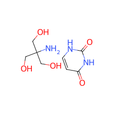 NC(CO)(CO)CO.O=c1cc[nH]c(=O)[nH]1